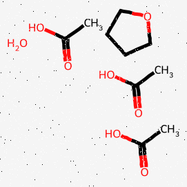 C1CCOC1.CC(=O)O.CC(=O)O.CC(=O)O.O